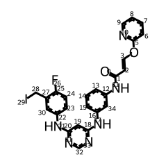 O=C(/C=C/Oc1ccccn1)Nc1cccc(Nc2cc(Nc3ccc(F)c(CI)c3)ncn2)c1